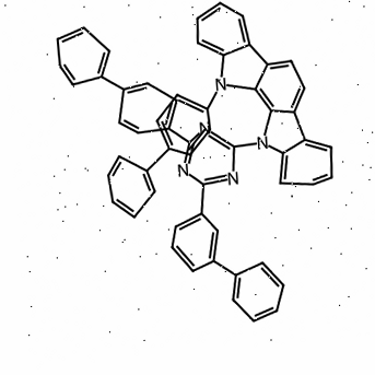 c1ccc(-c2ccc(-c3nc(-c4cccc(-c5ccccc5)c4)nc(-n4c5ccccc5c5ccc6c7ccccc7n(-c7ccc(-c8ccccc8)cc7)c6c54)n3)cc2)cc1